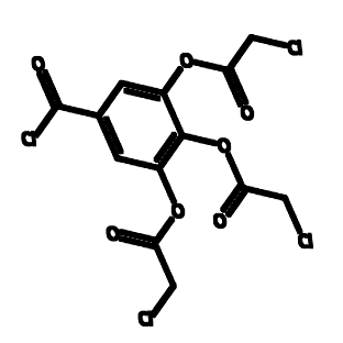 O=C(CCl)Oc1cc(C(=O)Cl)cc(OC(=O)CCl)c1OC(=O)CCl